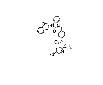 Cc1ncc(Cl)cc1C(=O)N[C@H]1CC[C@H](Cn2c(=O)n(C3COc4ccccc4C3)c3ccccc32)CC1